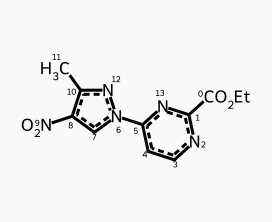 CCOC(=O)c1nccc(-n2cc([N+](=O)[O-])c(C)n2)n1